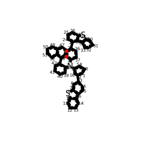 c1cc(-c2ccc3c(c2)sc2ccccc23)cc(N(c2ccc(-c3cccc4sc5ccccc5c34)cc2)c2ccccc2-c2cccc3ccccc23)c1